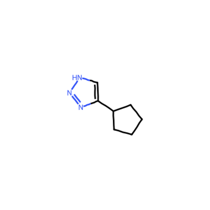 c1[nH]nnc1C1CCCC1